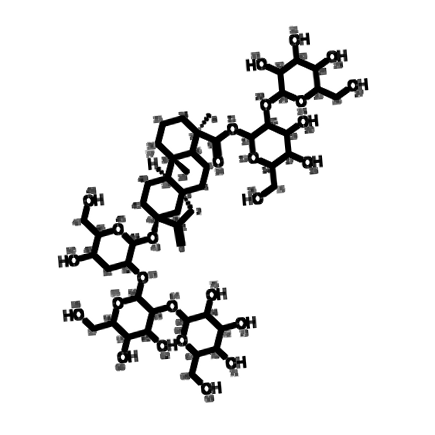 C=C1C[C@@]23CCC4[C@](C)(C(=O)OC5OC(CO)C(O)C(O)C5OC5OC(CO)C(O)C(O)C5O)CCC[C@@]4(C)[C@@H]2CC[C@]1(OC1OC(CO)C(O)CC1OC1OC(CO)C(O)C(O)C1OC1OC(CO)C(O)C(O)C1O)C3